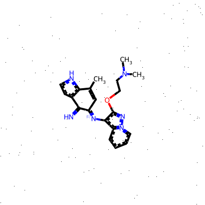 CC1=C/C(=N\c2c(OCCN(C)C)nn3ccccc23)C(=N)c2cc[nH]c21